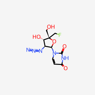 [N-]=[N+]=N[C@@H]1[C@H](n2ccc(=O)[nH]c2=O)O[C@@](CO)(CF)[C@H]1O